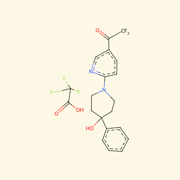 O=C(O)C(F)(F)F.O=C(c1ccc(N2CCC(O)(c3ccccc3)CC2)nc1)C(F)(F)F